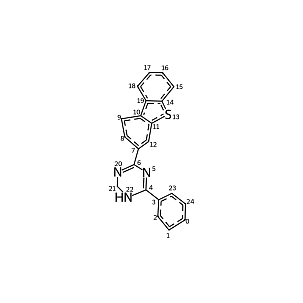 c1ccc(C2=NC(c3ccc4c(c3)sc3ccccc34)=NCN2)cc1